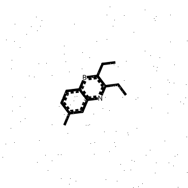 CCc1bc2ccc(C)cc2nc1CC